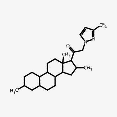 CC1CCC2C(CCC3C2CCC2(C)C3CC(C)C2C(=O)Cn2ccc(C(F)(F)F)n2)C1